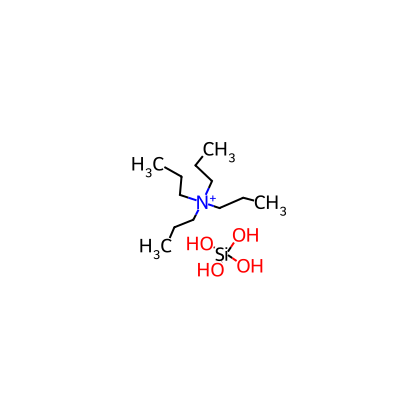 CCC[N+](CCC)(CCC)CCC.O[Si](O)(O)O